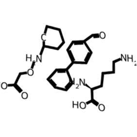 COCC(=O)O.NC1CCCCC1.NCCCC[C@H](N)C(=O)O.O=Cc1ccc(-c2ccccc2)cc1